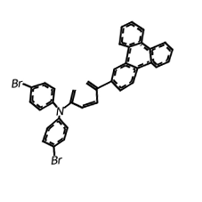 C=C(/C=C\C(=C)N(c1ccc(Br)cc1)c1ccc(Br)cc1)c1ccc2c3ccccc3c3ccccc3c2c1